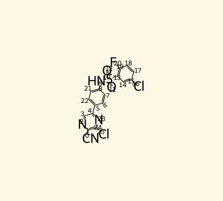 N#Cc1ncc(-c2ccc(NS(=O)(=O)c3cc(Cl)ccc3F)cc2)nc1Cl